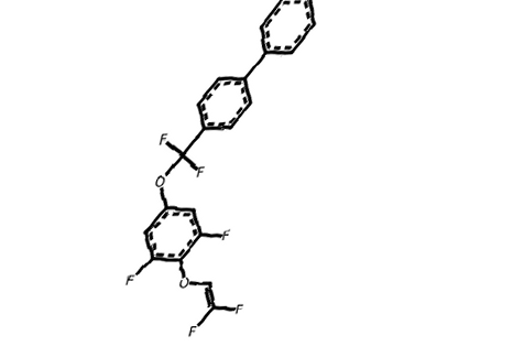 CCCCCc1ccc(-c2ccc(C(F)(F)Oc3cc(F)c(OC=C(F)F)c(F)c3)cc2)cc1